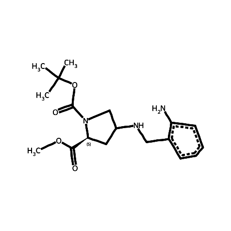 COC(=O)[C@@H]1CC(NCc2ccccc2N)CN1C(=O)OC(C)(C)C